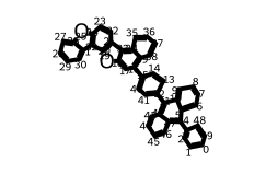 c1ccc(-c2c3ccccc3c(-c3ccc(-c4cc5oc6c(ccc7oc8ccccc8c76)c5c5ccccc45)cc3)c3ccccc23)cc1